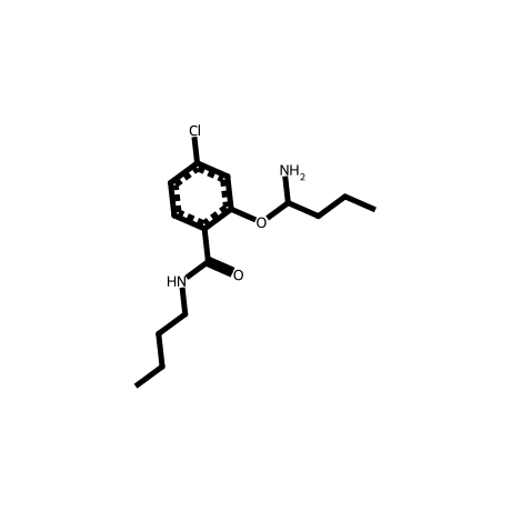 CCCCNC(=O)c1ccc(Cl)cc1OC(N)CCC